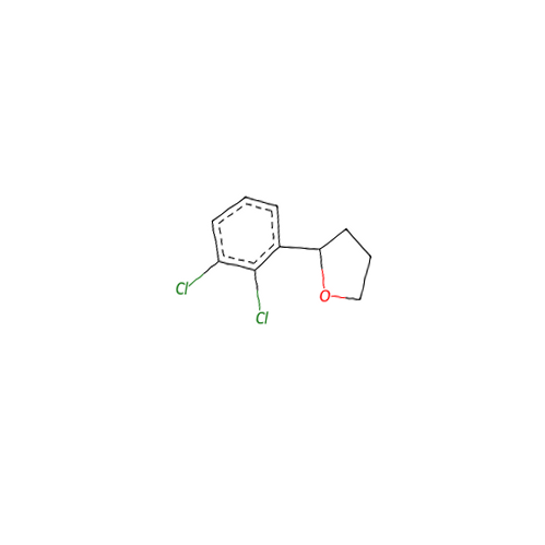 Clc1cccc(C2CCCO2)c1Cl